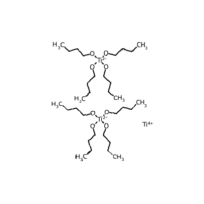 CCCC[O][Ti-2]([O]CCCC)([O]CCCC)[O]CCCC.CCCC[O][Ti-2]([O]CCCC)([O]CCCC)[O]CCCC.[Ti+4]